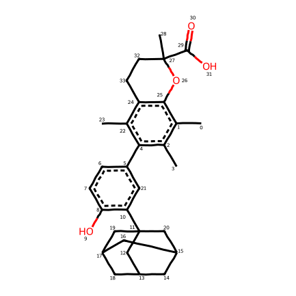 Cc1c(C)c(-c2ccc(O)c(C34CC5CC(CC(C5)C3)C4)c2)c(C)c2c1OC(C)(C(=O)O)CC2